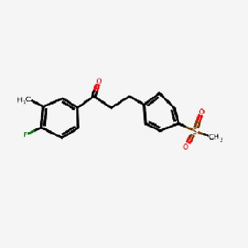 Cc1cc(C(=O)CCc2ccc(S(C)(=O)=O)cc2)ccc1F